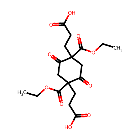 CCOC(=O)C1(CCC(=O)O)CC(=O)C(CCC(=O)O)(C(=O)OCC)CC1=O